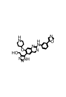 OCc1nn[nH]c1-c1cc2cnc(Nc3cccc(-c4cnco4)c3)nc2cc1OC1CCNCC1